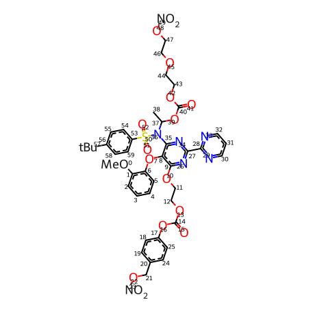 COc1ccccc1Oc1c(OCCOC(=O)Oc2ccc(CO[N+](=O)[O-])cc2)nc(-c2ncccn2)nc1N(C(C)OC(=O)OCCOCCO[N+](=O)[O-])S(=O)(=O)c1ccc(C(C)(C)C)cc1